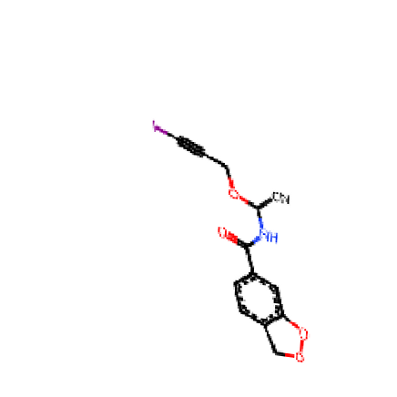 N#CC(NC(=O)c1ccc2c(c1)OOC2)OCC#CI